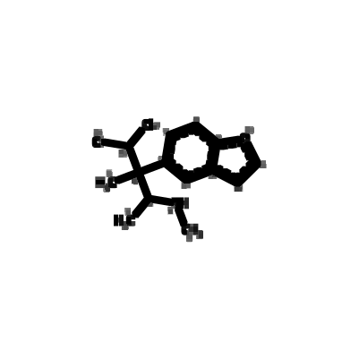 CNC(C)C(C)(c1ccc2occc2c1)C(Cl)Cl